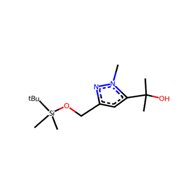 Cn1nc(CO[Si](C)(C)C(C)(C)C)cc1C(C)(C)O